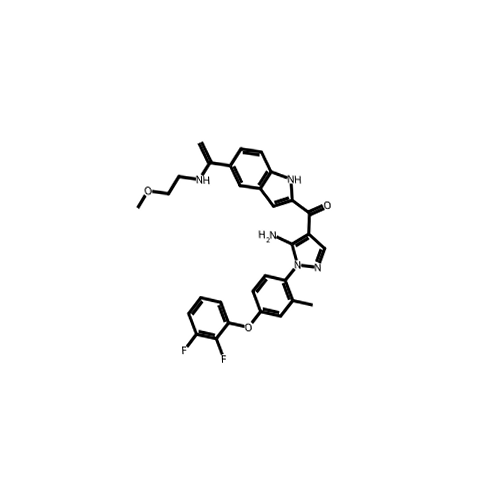 C=C(NCCOC)c1ccc2[nH]c(C(=O)c3cnn(-c4ccc(Oc5cccc(F)c5F)cc4C)c3N)cc2c1